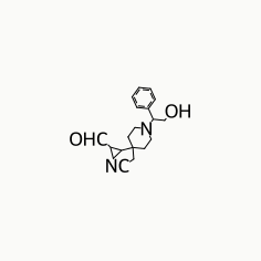 N#CCC1(C2CC2C=O)CCN(C(CO)c2ccccc2)CC1